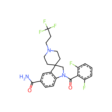 NC(=O)c1ccc2c(c1)C1(CCN(CCC(F)(F)F)CC1)CN2C(=O)c1c(F)cccc1F